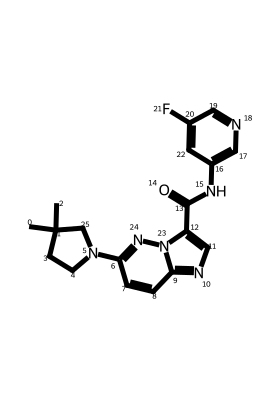 CC1(C)CCN(c2ccc3ncc(C(=O)Nc4cncc(F)c4)n3n2)C1